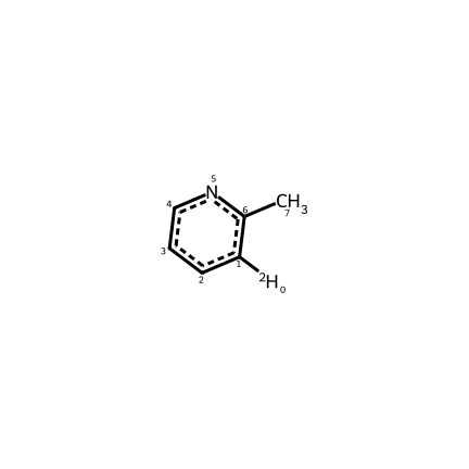 [2H]c1cccnc1C